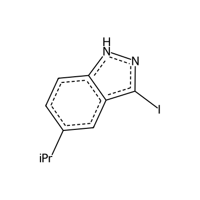 CC(C)c1ccc2[nH]nc(I)c2c1